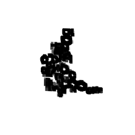 C=C[C@@H]1C[C@]1(NC(=O)[C@@H]1C[C@@H](Oc2cc(-c3csc(NC(C)C)n3)nc3cc(OC)ccc23)CN1C(=O)[C@@H](NC(=O)OC1CCCC1)C(C)(C)C)P(=O)(O)Cc1ccc(C#N)cc1